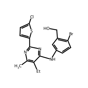 CCc1c(C)nc(-c2ccc(Cl)s2)nc1Nc1ccc(Br)c(CO)c1